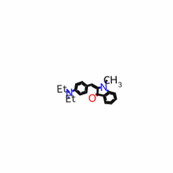 CCN(CC)c1ccc(/C=C2\C(=O)c3ccccc3N2C)cc1